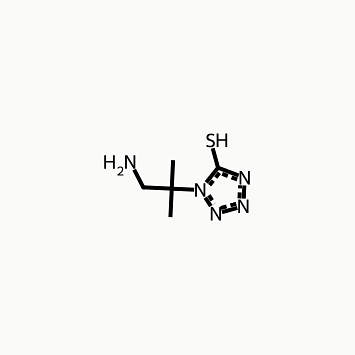 CC(C)(CN)n1nnnc1S